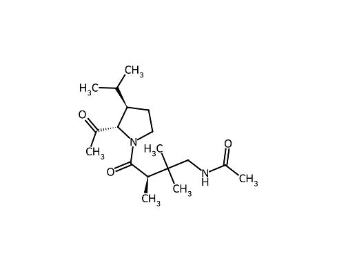 CC(=O)NCC(C)(C)[C@@H](C)C(=O)N1CC[C@H](C(C)C)[C@H]1C(C)=O